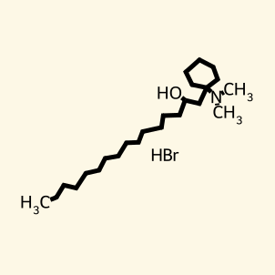 Br.CCCCCCCCCCCCCCC(O)CC1(N(C)C)CCCCC1